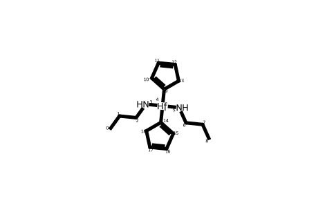 CCC[NH][Hf]([NH]CCC)([C]1=CC=CC1)[C]1=CC=CC1